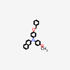 COc1ccc(N(c2ccc(OCc3ccccc3)cc2)c2ccc3ccccc3c2)cc1